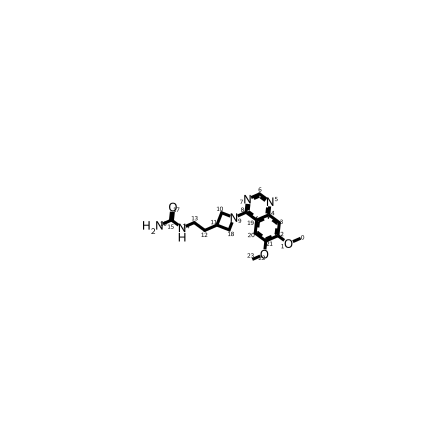 COc1cc2ncnc(N3CC(CCNC(N)=O)C3)c2cc1OC